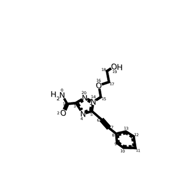 NC(=O)c1nc(C#Cc2ccccc2)n(COCCO)n1